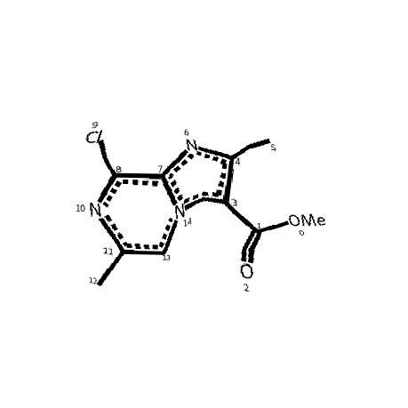 COC(=O)c1c(C)nc2c(Cl)nc(C)cn12